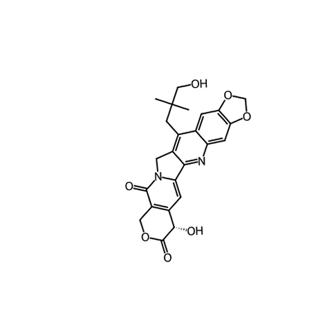 CC(C)(CO)Cc1c2c(nc3cc4c(cc13)OCO4)-c1cc3c(c(=O)n1C2)COC(=O)[C@H]3O